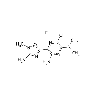 CN(C)c1nc(N)c(-c2nc(N)[n+](C)o2)nc1Cl.[I-]